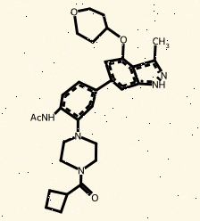 CC(=O)Nc1ccc(-c2cc(OC3CCOCC3)c3c(C)n[nH]c3c2)cc1N1CCN(C(=O)C2CCC2)CC1